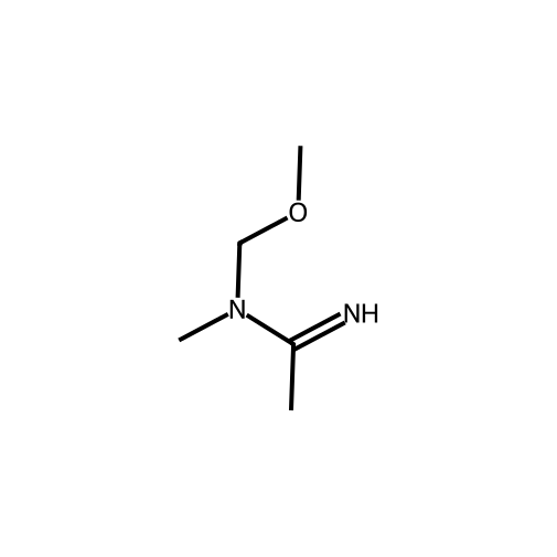 COCN(C)C(C)=N